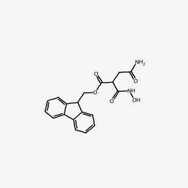 NC(=O)CC(C(=O)NO)C(=O)OCC1c2ccccc2-c2ccccc21